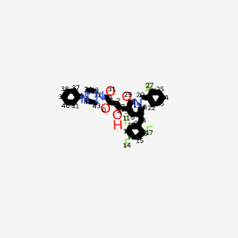 O=C(C=C(O)c1cc(Cc2c(F)cc(F)cc2F)cn(Cc2ccccc2F)c1=O)C(=O)N1CCN(c2ccccc2)CC1